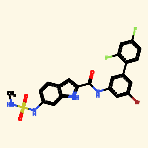 CNS(=O)(=O)Nc1ccc2cc(C(=O)Nc3cc(Br)cc(-c4ccc(F)cc4F)c3)[nH]c2c1